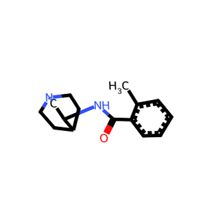 Cc1ccccc1C(=O)NC1CN2CCC1CC2